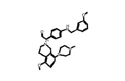 COc1cccc(CNc2ccc([C@@H](C=O)N3CCc4c(OC)ccc(N5CCN(C)CC5)c4C3)cc2)c1